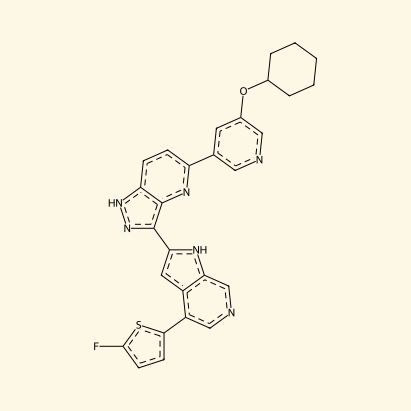 Fc1ccc(-c2cncc3[nH]c(-c4n[nH]c5ccc(-c6cncc(OC7CCCCC7)c6)nc45)cc23)s1